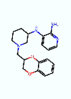 Nc1ncccc1NC1CCCN(CC2COc3ccccc3O2)C1